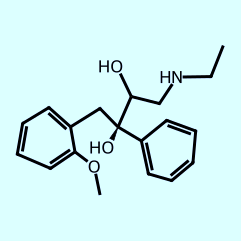 CCNCC(O)[C@@](O)(Cc1ccccc1OC)c1ccccc1